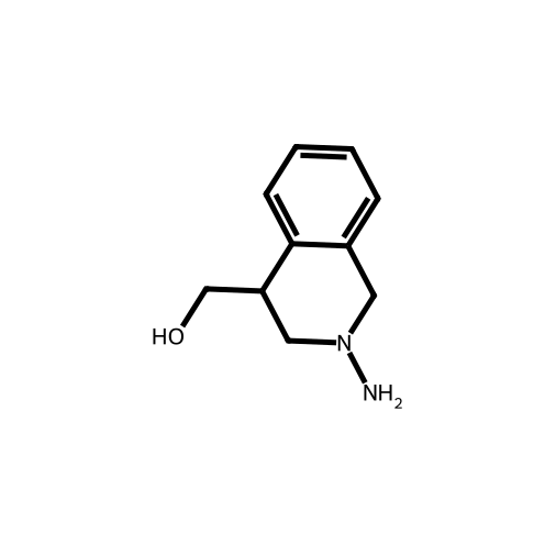 NN1Cc2ccccc2C(CO)C1